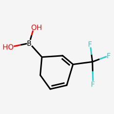 OB(O)C1C=C(C(F)(F)F)C=CC1